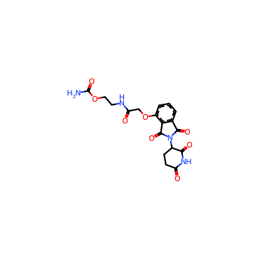 NC(=O)OCCNC(=O)COc1cccc2c1C(=O)N(C1CCC(=O)NC1=O)C2=O